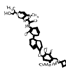 COc1cc(OC2CCc3c(-c4cccc(NC(=O)c5nc6c(n5C)CCN(C(C)CO)C6)c4Cl)cccc32)c(Cl)c(F)c1CNC1CCC1